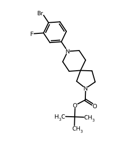 CC(C)(C)OC(=O)N1CCC2(CCN(c3ccc(Br)c(F)c3)CC2)C1